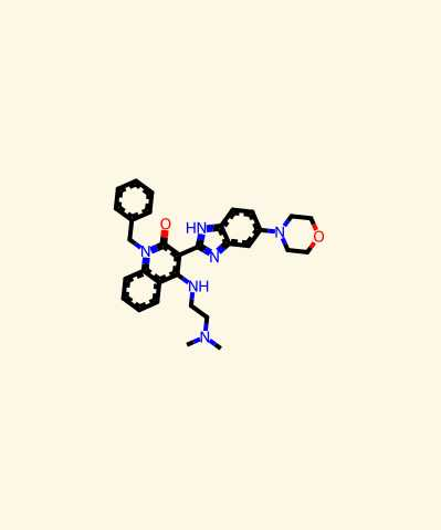 CN(C)CCNc1c(-c2nc3cc(N4CCOCC4)ccc3[nH]2)c(=O)n(Cc2ccccc2)c2ccccc12